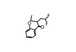 CC1Oc2ccccc2C(=O)C1CC(F)F